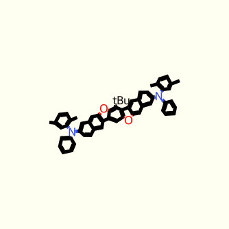 Cc1ccc(C)c(N(c2ccccc2)c2ccc3cc4c(cc3c2)oc2c(C(C)(C)C)c3c(cc24)oc2cc4cc(N(c5ccccc5)c5cc(C)ccc5C)ccc4cc23)c1